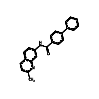 Cc1ccc2ccc(NC(=O)c3ccc(-c4ccccc4)cc3)cc2n1